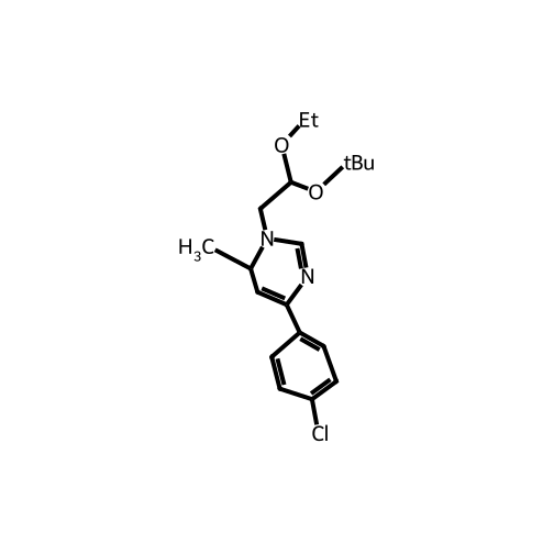 CCOC(CN1C=NC(c2ccc(Cl)cc2)=CC1C)OC(C)(C)C